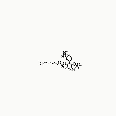 COC(=O)OC1=C(C)NC(C)=C(OC(=O)OCCCCCCCl)C1c1cccc([N+](=O)[O-])c1